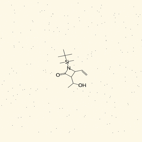 C=CC1C(C(C)O)C(=O)N1[Si](C)(C)C(C)(C)C